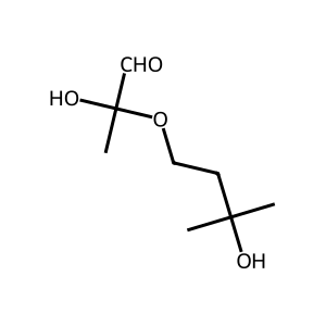 CC(C)(O)CCOC(C)(O)C=O